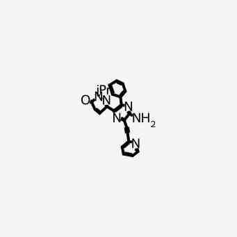 CC(C)n1nc(-c2nc(C#Cc3ccccn3)c(N)nc2-c2ccccc2)ccc1=O